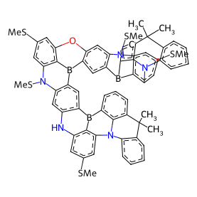 CSc1cc2c3c(c1)N(SC)c1cc4c(cc1B3c1cc3c(cc1O2)N(SC)c1cc(SC)cc2c1B3c1cccc3c1N2c1ccccc1C3(C)C)B1c2cccc3c2N(c2ccccc2C3(C)C)c2cc(SC)cc(c21)N4